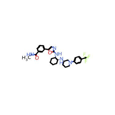 CNC(=O)c1cccc(-c2cnc(N[C@@H]3CCCC[C@H]3N[C@H]3CCCN(c4ccc(C(F)(F)F)cc4)C3)o2)c1